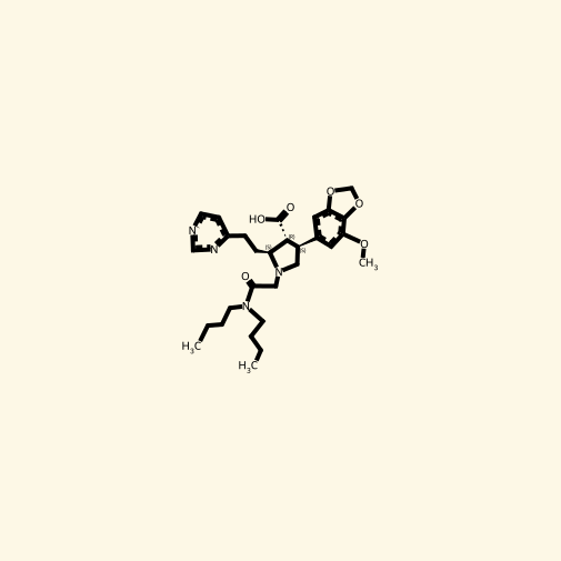 CCCCN(CCCC)C(=O)CN1C[C@H](c2cc(OC)c3c(c2)OCO3)[C@@H](C(=O)O)[C@@H]1CCc1ccncn1